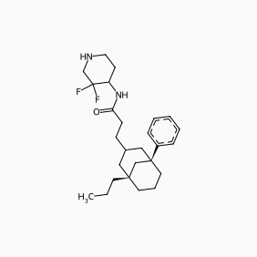 CCC[C@@]12CCC[C@@](c3ccccc3)(CC(CCC(=O)NC3CCNCC3(F)F)C1)C2